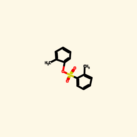 Cc1ccccc1OS(=O)(=O)c1ccccc1C